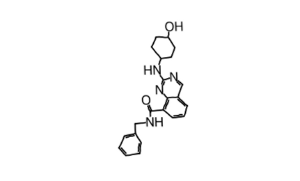 O=C(NCc1ccccc1)c1cccc2cnc(NC3CCC(O)CC3)nc12